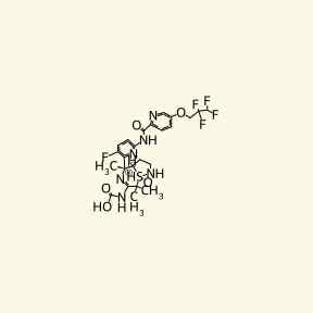 CC1(C)C(NC(=O)O)=N[C@](C)(c2nc(NC(=O)c3ccc(OCC(F)(F)C(F)F)cn3)ccc2F)[C@@H]2CCN[SH]21=O